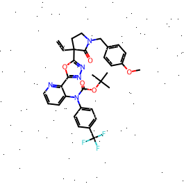 C=CC1(c2nnc(-c3ncccc3N(C(=O)OC(C)(C)C)c3ccc(C(F)(F)F)cc3)o2)CCN(Cc2ccc(OC)cc2)C1=O